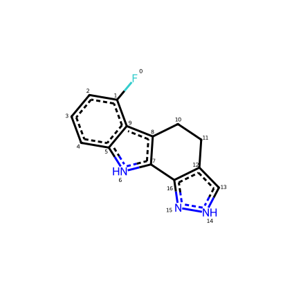 Fc1cccc2[nH]c3c(c12)CCc1c[nH]nc1-3